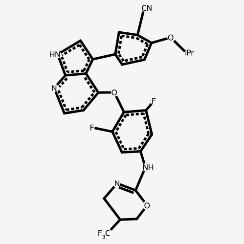 CC(C)Oc1ccc(-c2c[nH]c3nccc(Oc4c(F)cc(NC5=NCC(C(F)(F)F)CO5)cc4F)c23)cc1C#N